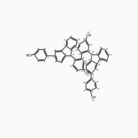 N#Cc1ccc(-c2ccc3c(c2)c2ccccc2n3-c2ccc(C#N)cc2-c2ccc(C#N)cc2-n2c3ccccc3c3cc(-c4ccc(C#N)cc4)ccc32)cc1